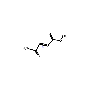 COC(=O)/C=C/C(N)=O